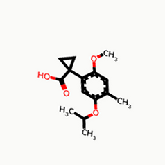 COc1cc(C)c(OC(C)C)cc1C1(C(=O)O)CC1